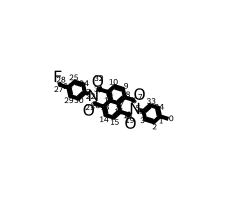 Cc1ccc(N2C(=O)c3ccc4c5c(ccc(c35)C2=O)C(=O)N(c2ccc(CF)cc2)C4=O)cc1